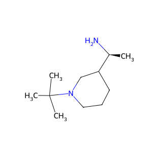 C[C@H](N)C1CCCN(C(C)(C)C)C1